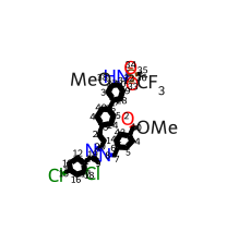 COC(=O)c1ccc(Cn2cc(-c3ccc(Cl)cc3Cl)nc2C=Cc2ccc(-c3ccc(NS(=O)(=O)CC(F)(F)F)c(OC)c3)cc2)cc1